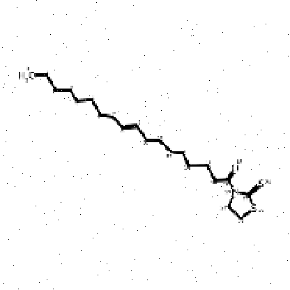 CCCCCCCCC=CCCCCCCCC(=O)N1CCSC1=S